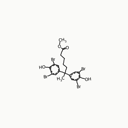 COC(=O)CCCCC(C)(c1cc(Br)c(O)c(Br)c1)c1cc(Br)c(O)c(Br)c1